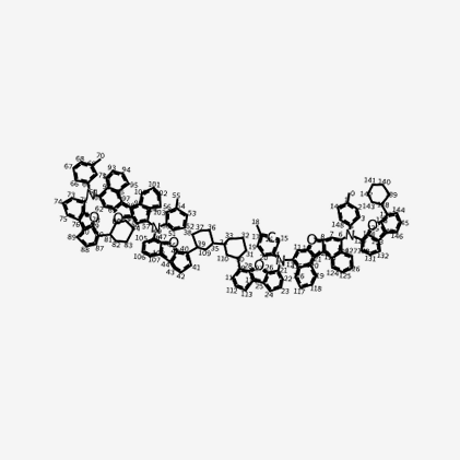 Cc1ccc(N(c2cc3oc4cc(N(c5ccc(C)cc5)c5cccc6c5oc5c(C7CCCC(C8CCCC(c9cccc%10c9oc9c(N(c%11cccc(C)c%11)c%11cc%12oc%13cc(N(c%14cccc(C)c%14)c%14cccc%15c%14oc%14c(C%16CCCCC%16)cccc%14%15)c%14ccccc%14c%13c%12c%12ccccc%11%12)cccc9%10)C8)C7)cccc56)c5ccccc5c4c3c3ccccc23)c2cccc3c2oc2c(C4CCCCC4)cccc23)cc1